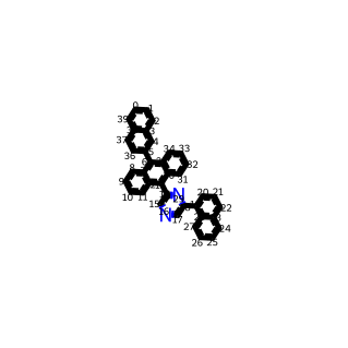 c1ccc2cc(-c3c4ccccc4c(-c4cncc(-c5cccc6ccccc56)n4)c4ccccc34)ccc2c1